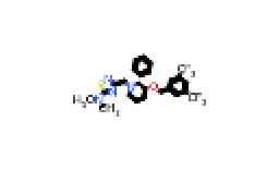 CN(C)c1nc(CN2CCC[C@@H](OCc3cc(C(F)(F)F)cc(C(F)(F)F)c3)[C@H]2c2ccccc2)ns1